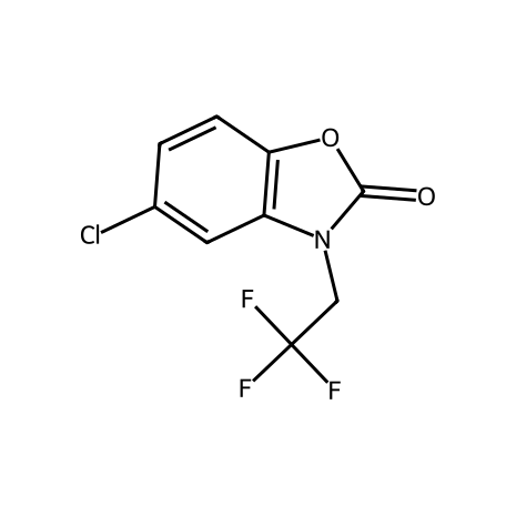 O=c1oc2ccc(Cl)cc2n1CC(F)(F)F